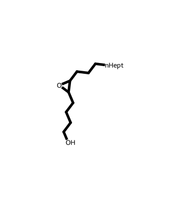 CCCCCCCCCCC1OC1CCCCO